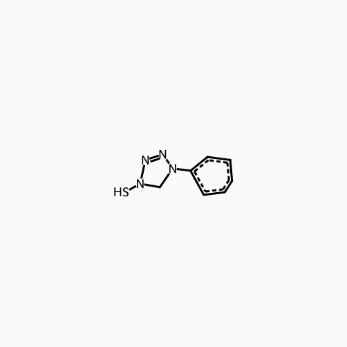 SN1CN(c2ccccc2)N=N1